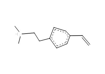 C=Cc1ccc(CC[SiH](C)C)cc1